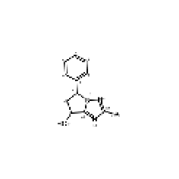 OC1CC(c2ccccc2)n2nc(Br)nc21